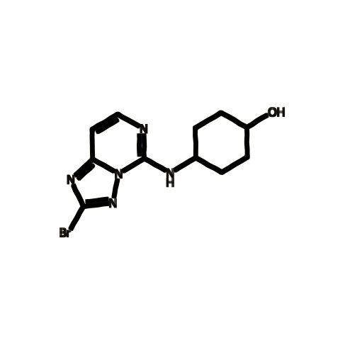 OC1CCC(Nc2nccc3nc(Br)nn23)CC1